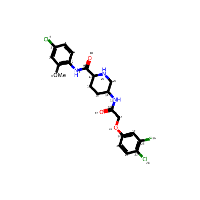 COc1cc(Cl)ccc1NC(=O)C1CCC(NC(=O)COc2ccc(Cl)c(F)c2)CN1